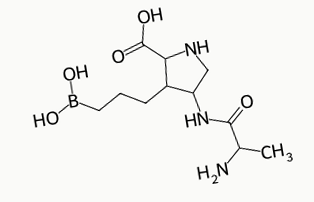 CC(N)C(=O)NC1CNC(C(=O)O)C1CCCB(O)O